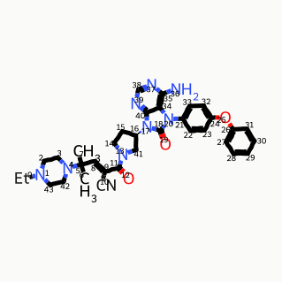 CCN1CCN(C(C)(C)C=C(C#N)C(=O)N2CC[C@H](n3c(=O)n(-c4ccc(Oc5ccccc5)cc4)c4c(N)ncnc43)C2)CC1